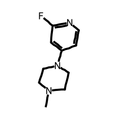 CN1CCN(c2ccnc(F)c2)CC1